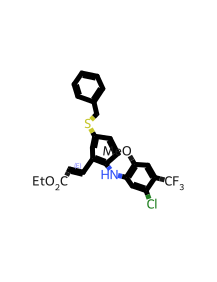 CCOC(=O)/C=C/c1cc(SCc2ccccc2)ccc1Nc1cc(Cl)c(C(F)(F)F)cc1OC